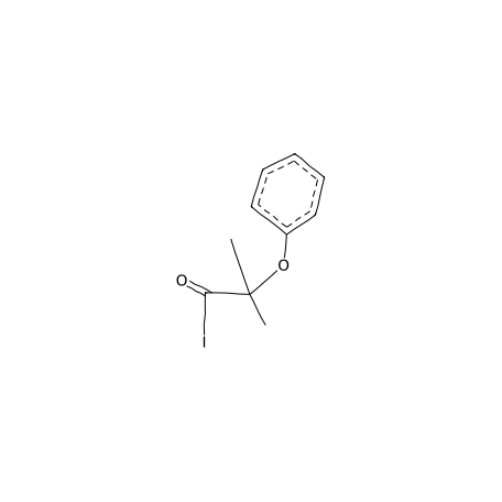 CC(C)(Oc1ccccc1)C(=O)I